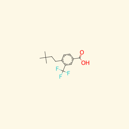 CC(C)(C)CCc1ccc(C(=O)O)cc1C(F)(F)F